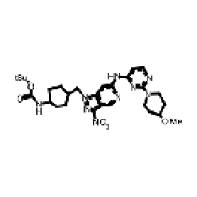 COC1CCN(c2nccc(Nc3cc4c(cn3)c([N+](=O)[O-])nn4CC3CCC(NC(=O)OC(C)(C)C)CC3)n2)CC1